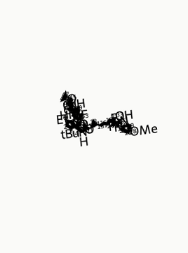 CC[C@@H]1CCN(C(=O)[C@@H](NC(=O)O[C@@H]2C[C@H]2CCCCC(F)(F)c2nc3ccc(OC)cc3nc2O)C(C)(C)C)[C@@H]1C(=O)NC1(C(=O)NS(=O)(=O)C2CC2)C[C@H]1C(F)F